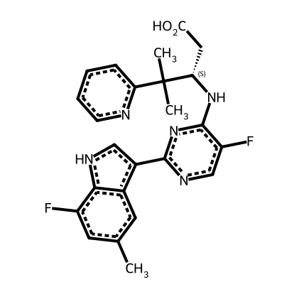 Cc1cc(F)c2[nH]cc(-c3ncc(F)c(N[C@@H](CC(=O)O)C(C)(C)c4ccccn4)n3)c2c1